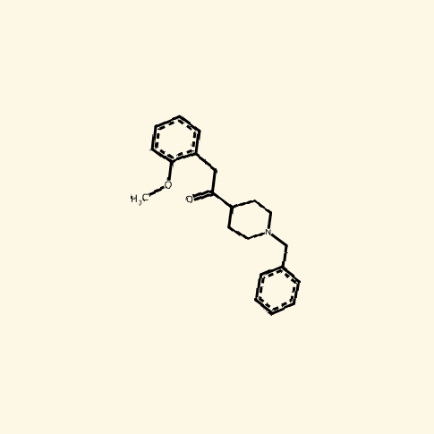 COc1ccccc1CC(=O)C1CCN(Cc2ccccc2)CC1